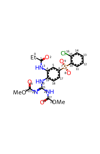 CCC(=O)Nc1cc(S(=O)(=O)c2ccccc2Cl)ccc1NC(=NC(=O)OC)NC(=O)OC